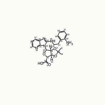 CC1(C)O[C@@H]2[C@H](O1)[C@@H](C(=O)O)O[C@H]2n1c(NCCc2ccccc2N)nc2cncnc21